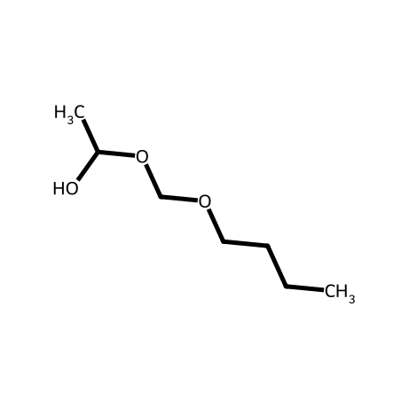 CCCCOCOC(C)O